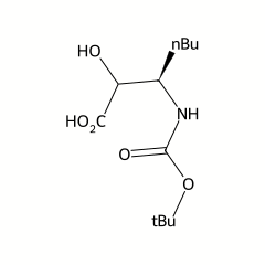 CCCC[C@@H](NC(=O)OC(C)(C)C)C(O)C(=O)O